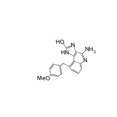 COc1ccc(Cc2cccc3nc(N)c4nc(O)[nH]c4c23)cc1